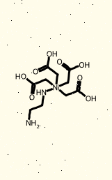 NCC[NH][Ni]([CH2]C(=O)O)([CH2]C(=O)O)([CH2]C(=O)O)[CH2]C(=O)O